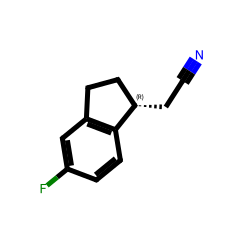 N#CC[C@H]1CCc2cc(F)ccc21